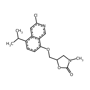 CC(C)c1ccc(OCC2CN(C)C(=O)O2)c2cnc(Cl)cc12